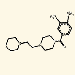 Nc1ccc(C(=O)N2CCN(CCN3CCOCC3)CC2)cc1N